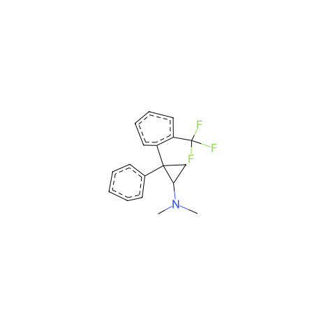 CN(C)C1CC1(c1ccccc1)c1ccccc1C(F)(F)F